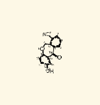 N#Cc1cccc2c1COc1ccc(O)cc1C2=O